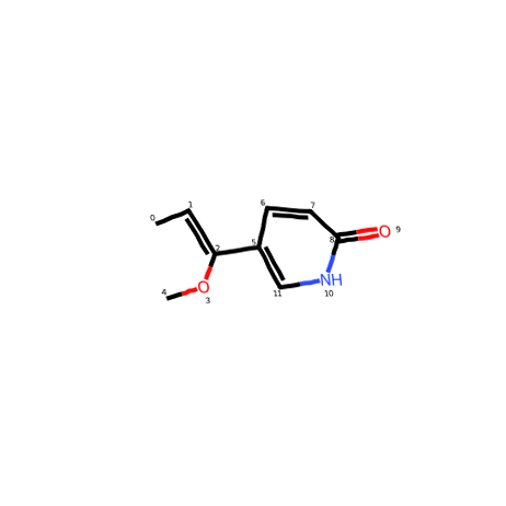 CC=C(OC)c1ccc(=O)[nH]c1